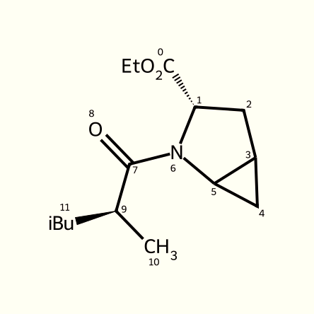 CCOC(=O)[C@@H]1CC2CC2N1C(=O)[C@@H](C)C(C)CC